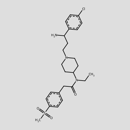 CCN(C(=O)Cc1ccc(S(C)(=O)=O)cc1)C1CCN(CCC(N)c2ccc(Cl)cc2)CC1